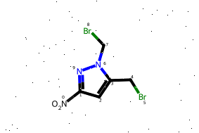 O=[N+]([O-])c1cc(CBr)n(CBr)n1